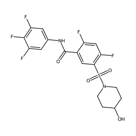 O=C(Nc1cc(F)c(F)c(F)c1)c1cc(S(=O)(=O)N2CCC(O)CC2)c(F)cc1F